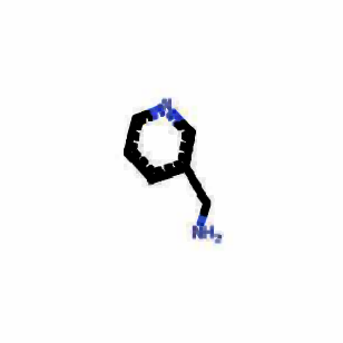 NCc1[c]ccnc1